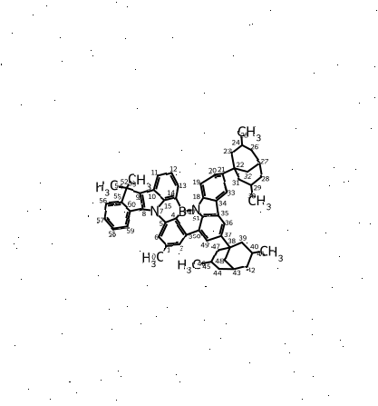 Cc1cc2c3c(c1)-n1c4c(c5cccc(c51)B3n1c3ccc(C56CC(C)CC(CC(C)C5)C6)cc3c3cc(C56CC(C)CC(CC(C)C5)C6)cc-2c31)C(C)(C)c1ccccc1-4